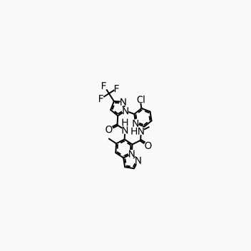 CNC(=O)c1c(NC(=O)c2cc(C(F)(F)F)nn2-c2ncccc2Cl)c(C)cc2ccnn12